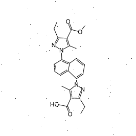 CCc1nn(-c2cccc3c(-n4nc(CC)c(C(=O)OC)c4C)cccc23)c(C)c1C(=O)O